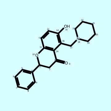 O=C1CC(c2ccccc2)Oc2ccc(O)c(CN3CCCCC3)c21